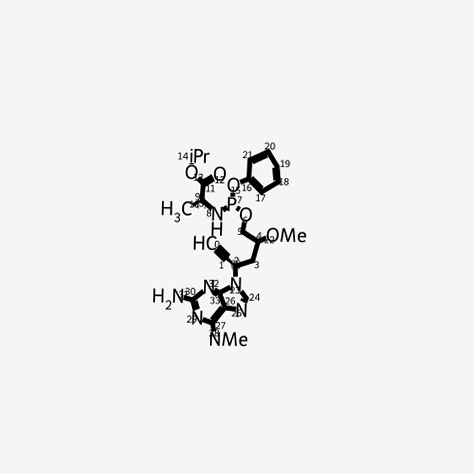 C#C[C@@H](CC(COP(N[C@@H](C)C(=O)OC(C)C)Oc1ccccc1)OC)n1cnc2c(NC)nc(N)nc21